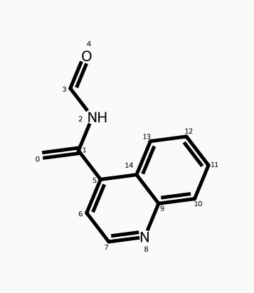 C=C(NC=O)c1ccnc2ccccc12